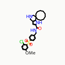 COc1ccc(Cl)c(S(=O)(=O)c2ccc(CNC(=O)c3cc4c([nH]3)C3(CCCCCCCCC3)CNC4)cc2)c1